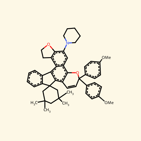 COc1ccc(C2(c3ccc(OC)cc3)C=Cc3c4c(c5c6c(c(N7CCCCC7)cc5c3O2)OCC6)-c2ccccc2C42CC(C)(C)CC(C)(C)C2)cc1